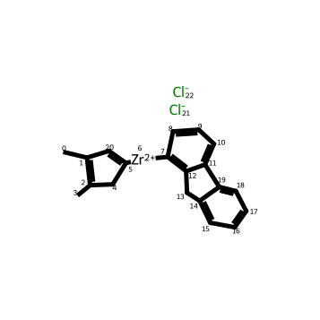 CC1=C(C)C[C]([Zr+2][c]2cccc3c2Cc2ccccc2-3)=C1.[Cl-].[Cl-]